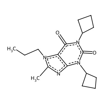 CCCn1c(C)nc2c1c(=O)n(C1CCC1)c(=O)n2C1CCC1